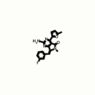 Cc1ccc(-c2nc(N)nc3c2C(=O)N(C)/C3=C/c2cccc(F)c2)o1